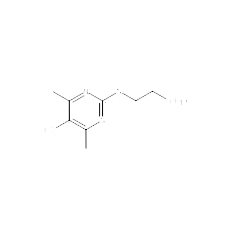 CCCCCCCCCNc1nc(C)c(O)c(C)n1